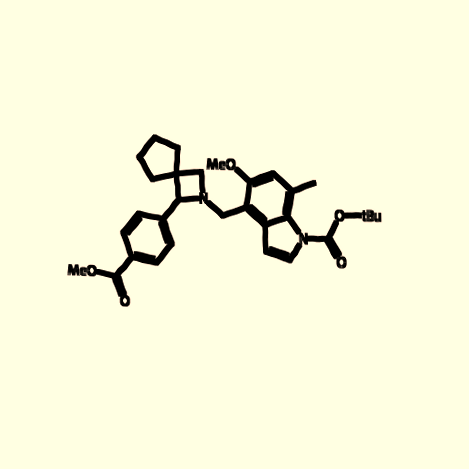 COC(=O)c1ccc(C2N(Cc3c(OC)cc(C)c4c3ccn4C(=O)OC(C)(C)C)CC23CCCC3)cc1